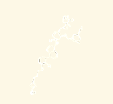 CC(CO)(NCC1=C(OCc2cncc(C#N)c2)CC(Cl)(O[C@H]2CCc3c(-c4cccc(OCCCN5CC(O)C5)c4Cl)cccc32)C=C1)C(=O)O